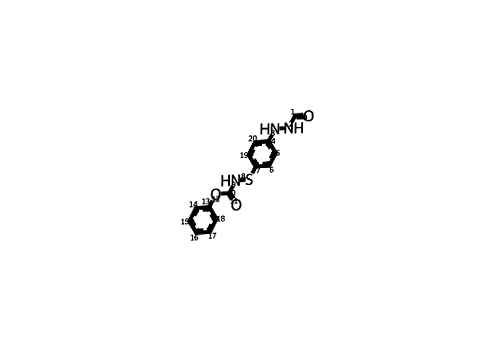 O=CNNc1ccc(SNC(=O)Oc2ccccc2)cc1